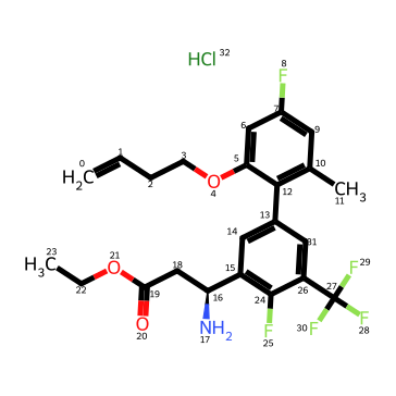 C=CCCOc1cc(F)cc(C)c1-c1cc([C@@H](N)CC(=O)OCC)c(F)c(C(F)(F)F)c1.Cl